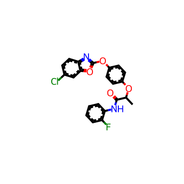 CC(Oc1ccc(Oc2nc3ccc(Cl)cc3o2)cc1)C(=O)Nc1ccccc1F